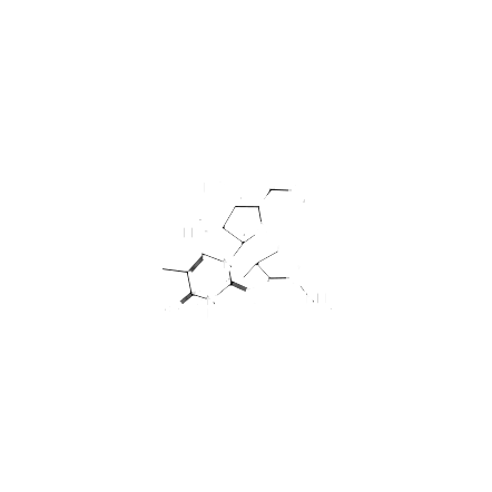 Cc1cn([C@]2(C(C)(C)CON)O[C@H](CO)[C@@H](O)[C@H]2O)c(=O)[nH]c1=O